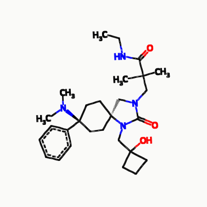 CCNC(=O)C(C)(C)CN1C[C@]2(CC[C@](c3ccccc3)(N(C)C)CC2)N(CC2(O)CCC2)C1=O